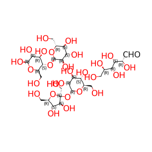 O=C[C@H](O)[C@@H](O)[C@H](O)[C@H](O)CO.OC[C@H]1O[C@@](CO)(O[C@H]2O[C@H](CO)[C@@H](O)[C@H](O)[C@H]2O)[C@@H](O)[C@@H]1O.OC[C@H]1O[C@H](O[C@H]2[C@H](O)[C@@H](O)[C@H](O)O[C@@H]2CO)[C@H](O)[C@@H](O)[C@@H]1O